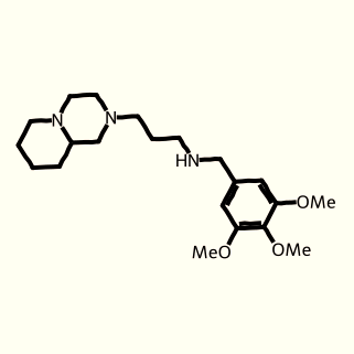 COc1cc(CNCCCN2CCN3CCCCC3C2)cc(OC)c1OC